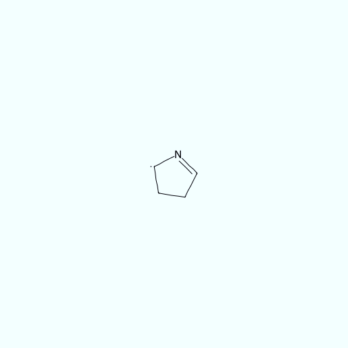 [CH]1CCC=N1